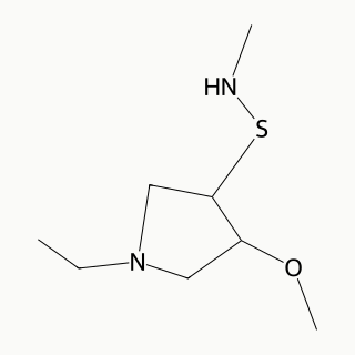 CCN1CC(OC)C(SNC)C1